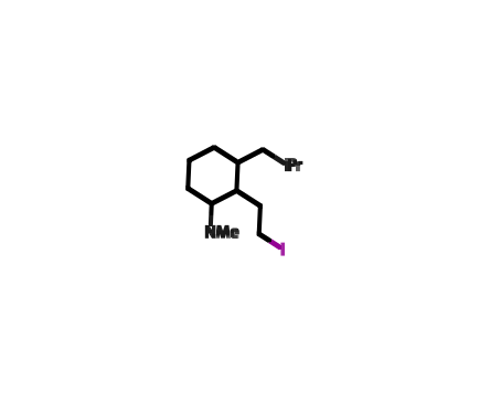 CNC1CCCC(CC(C)C)C1CCI